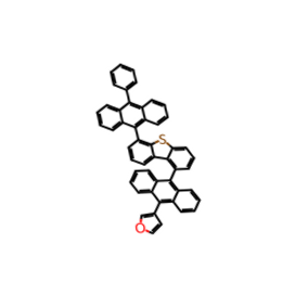 c1ccc(-c2c3ccccc3c(-c3cccc4c3sc3cccc(-c5c6ccccc6c(-c6ccoc6)c6ccccc56)c34)c3ccccc23)cc1